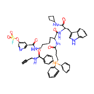 C#CCNC(=O)c1ccc([PH](CCCC(=O)NC(CCCCNC(=O)c2cncc(OS(=O)(=O)F)c2)C(=O)NC(Cc2c[nH]c3ccccc23)C(=O)NC2CCC2)(c2ccccc2)c2ccccc2)cc1